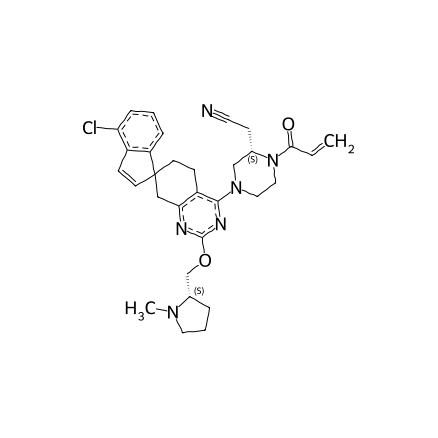 C=CC(=O)N1CCN(c2nc(OC[C@@H]3CCCN3C)nc3c2CCC2(C=Cc4c(Cl)cccc42)C3)C[C@@H]1CC#N